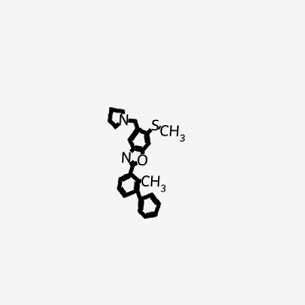 CSc1cc2oc(-c3cccc(-c4ccccc4)c3C)nc2cc1CN1CCCC1